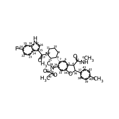 CNC(=O)C1c2cc([C@H]3CCCN(C(=O)c4c[nH]c5cc(F)ccc45)C3)c(N(C)S(C)(=O)=O)cc2OC1c1ccc(C)cc1